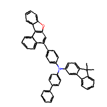 CC1(C)c2ccccc2-c2cc(N(c3ccc(-c4ccccc4)cc3)c3ccc(-c4cc5oc6ccccc6c5c5ccccc45)cc3)ccc21